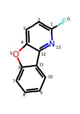 Fc1ccc2oc3ccccc3c2n1